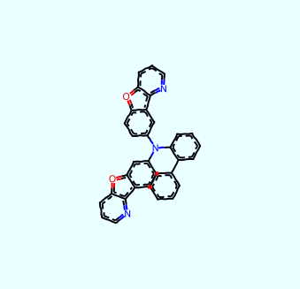 c1ccc(-c2ccccc2N(c2ccc3c(c2)oc2cccnc23)c2ccc3oc4cccnc4c3c2)cc1